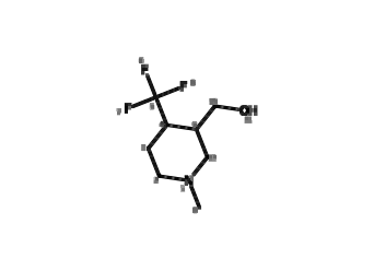 CN1CCC(C(F)(F)F)C(CO)C1